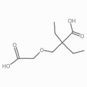 CCC(CC)(COCC(=O)O)C(=O)O